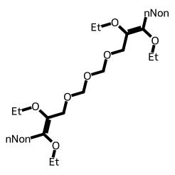 CCCCCCCCCC(OCC)=C(COCOCOCC(OCC)=C(CCCCCCCCC)OCC)OCC